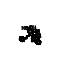 CC(C)(C)[Si](OC[C@@H]1[C@@H](O)[C@H](O)[C@@H](O)CN1CCCc1ccccc1)(c1ccccc1)c1ccccc1